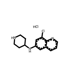 Cl.Clc1cc(NC2CCNCC2)cc2cccnc12